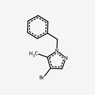 Cc1c(Br)cnn1Cc1ccccc1